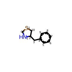 [CH]1NC(Cc2ccccc2)CS1